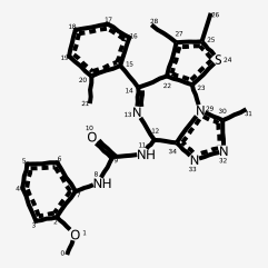 COc1ccccc1NC(=O)NC1N=C(c2ccccc2C)c2c(sc(C)c2C)-n2c(C)nnc21